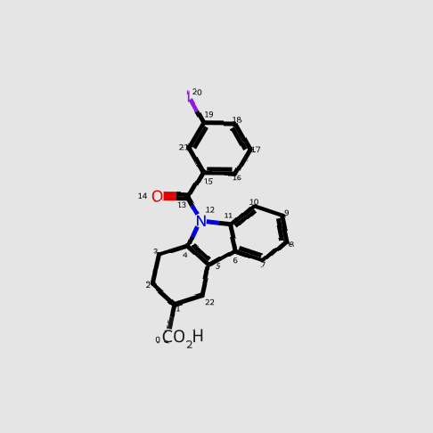 O=C(O)C1CCc2c(c3ccccc3n2C(=O)c2cccc(I)c2)C1